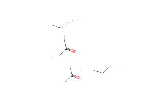 CC(C)C(=O)C(C)C.CC(C)C(=O)C(C)C.CCCCCCCCCCCC(=O)O.CCCCCCCCCCCC(=O)O